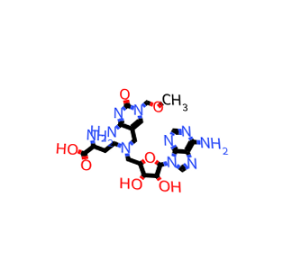 COCn1cc(CN(CCC(N)C(=O)O)CC2OC(n3cnc4c(N)ncnc43)C(O)C2O)c(N)nc1=O